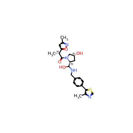 Cc1cc([C@@H](C)C(=O)N2C[C@H](O)C[C@H]2C(O)NCc2ccc(-c3scnc3C)cc2)on1